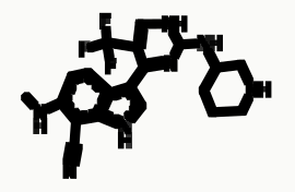 CNc1ccc2c(C3=NC(NC4CCCNC4)NC=C3C(F)(F)F)c[nH]c2c1C#N